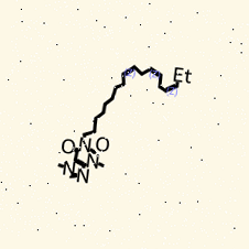 CC/C=C\C/C=C\C/C=C\CCCCCCCCn1c(=O)c2c(ncn2C)n(C)c1=O